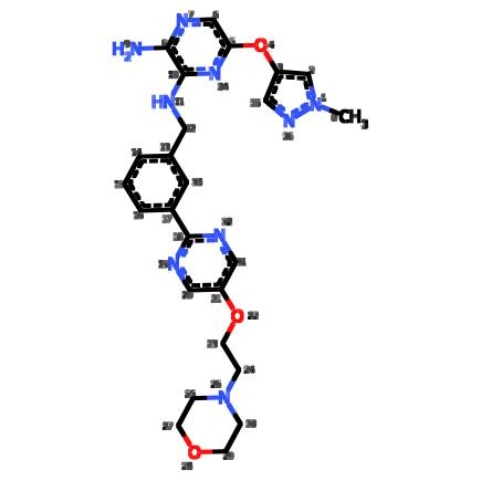 Cn1cc(Oc2cnc(N)c(NCc3cccc(-c4ncc(OCCN5CCOCC5)cn4)c3)n2)cn1